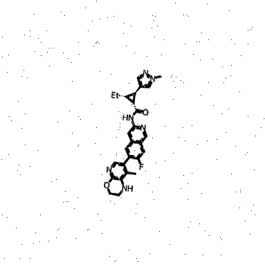 CC[C@H]1[C@@H](C(=O)Nc2cc3cc(-c4cnc5c(c4C)NCCO5)c(F)cc3cn2)[C@@H]1c1cnn(C)c1